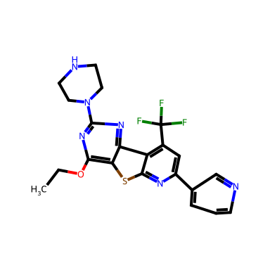 CCOc1nc(N2CCNCC2)nc2c1sc1nc(-c3cccnc3)cc(C(F)(F)F)c12